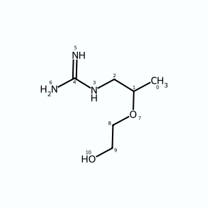 CC(CNC(=N)N)OCCO